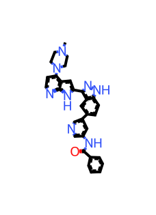 CN1CCN(c2ccnc3[nH]c(-c4n[nH]c5ccc(-c6cncc(NC(=O)c7ccccc7)c6)cc45)cc23)CC1